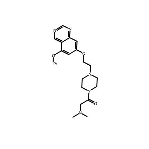 CC(C)Oc1cc(OCCN2CCN(C(=O)CN(C)C)CC2)cc2ncncc12